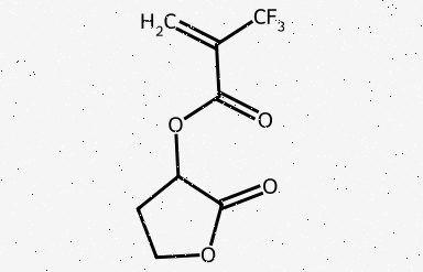 C=C(C(=O)OC1CCOC1=O)C(F)(F)F